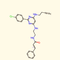 CC(=O)NCCNc1cc(NCCNC(=O)/C=C/c2ccccc2)nc(-c2ccc(Cl)cc2)n1